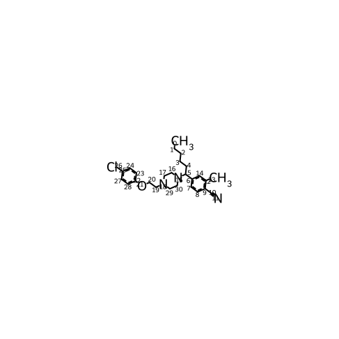 CCCCCC(c1ccc(C#N)c(C)c1)N1CCN(CCOc2ccc(Cl)cc2)CC1